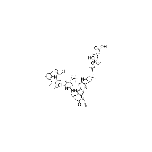 C#CCN1C(=O)COc2cc(F)c(/N=c3\snc4n3CC(C)(C)C4)cc21.CCNc1nc(Cl)nc(NC(C)(C)C)n1.CCc1cccc(C)c1N(C(=O)CCl)C(C)COC.C[S+](C)C.O=C(O)CNCP(=O)([O-])O